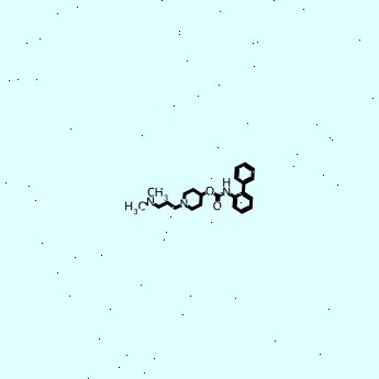 CN(C)CCCN1CCC(OC(=O)Nc2ccccc2-c2ccccc2)CC1